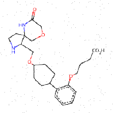 O=C(O)CCCOc1ccccc1C1CCC(OCC2NCCC23COCC(=O)N3)CC1